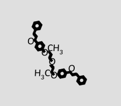 CC(C=COC=CC(C)Oc1ccc(C(=O)C=Cc2ccccc2)cc1)Oc1ccc(C(=O)C=Cc2ccccc2)cc1